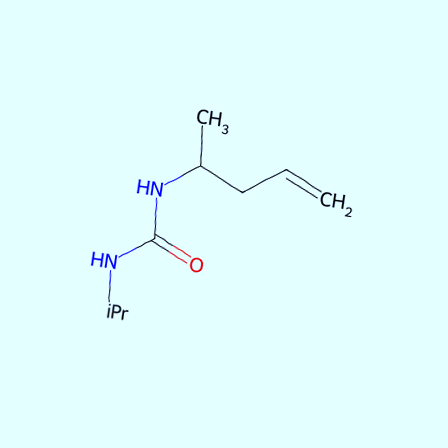 C=CCC(C)NC(=O)NC(C)C